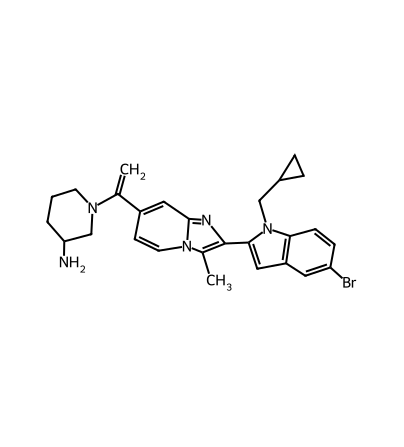 C=C(c1ccn2c(C)c(-c3cc4cc(Br)ccc4n3CC3CC3)nc2c1)N1CCCC(N)C1